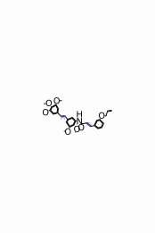 C=CCOc1cccc(/C=C/C(=O)Nc2cc(/C=C/c3cc(OC)c(OC)c(OC)c3)cc(OC)c2OC)c1